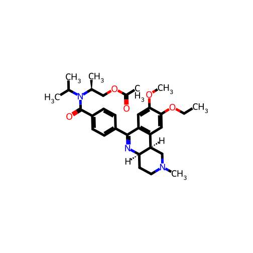 CCOc1cc2c(cc1OC)C(c1ccc(C(=O)N(C(C)C)[C@@H](C)COC(C)=O)cc1)=N[C@@H]1CCN(C)C[C@H]21